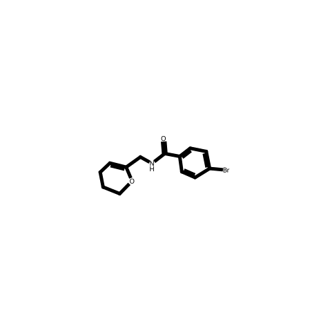 O=C(NCC1=CCCCO1)c1ccc(Br)cc1